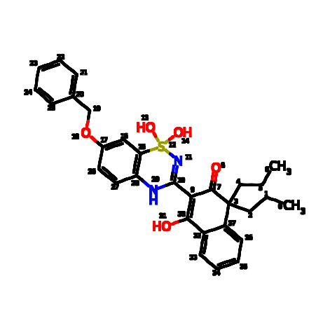 CCCC1(CCC)C(=O)C(C2=NS(O)(O)c3cc(OCc4ccccc4)ccc3N2)=C(O)c2ccccc21